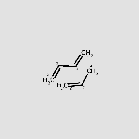 C=CC=C.[CH2]C=C